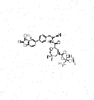 Cn1c(=O)oc2ccc(-c3ccc(C[C@@H](C#N)NC(=O)C4CN(C(=O)OC(C)(C)C)CC(F)(F)CO4)cc3)cc21